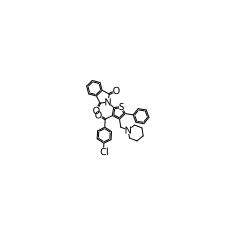 O=C(c1ccc(Cl)cc1)c1c(N2C(=O)c3ccccc3C2=O)sc(-c2ccccc2)c1CN1CCCCC1